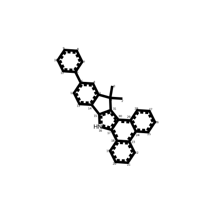 CC1(C)c2cc(-c3ccccc3)ccc2-c2[nH]c3c4ccccc4c4ccccc4c3c21